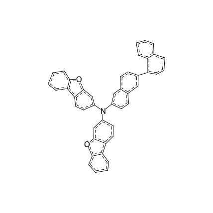 c1ccc2c(-c3ccc4cc(N(c5ccc6c(c5)oc5ccccc56)c5ccc6c(c5)oc5ccccc56)ccc4c3)cccc2c1